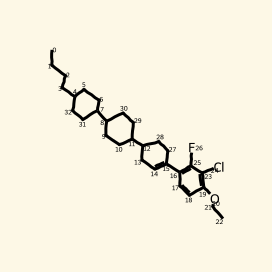 CCCCC1CCC(C2CCC(C3CC=C(c4ccc(OCC)c(Cl)c4F)CC3)CC2)CC1